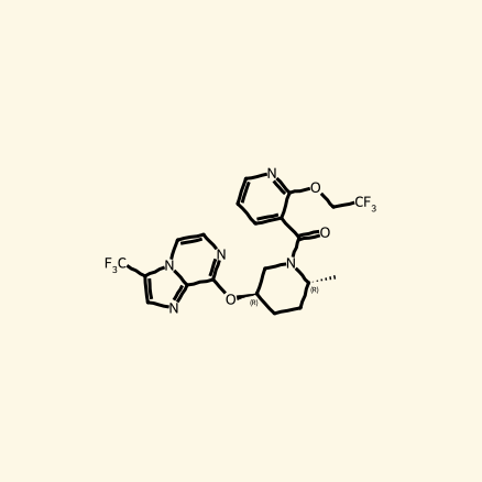 C[C@@H]1CC[C@@H](Oc2nccn3c(C(F)(F)F)cnc23)CN1C(=O)c1cccnc1OCC(F)(F)F